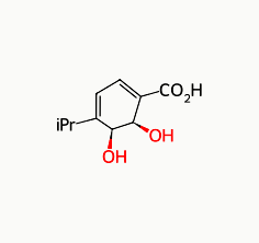 CC(C)C1=CC=C(C(=O)O)[C@@H](O)[C@H]1O